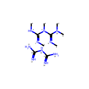 CN=C(NC)N(C)C(=NC)N(C)C.N=C(N)NC(=N)N